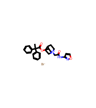 CC(C(=O)OC1C[N+]2(CC(=O)Nc3ccon3)CCC1CC2)(c1ccccc1)c1ccccc1.[Br-]